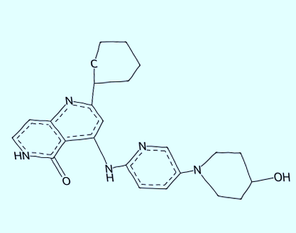 O=c1[nH]ccc2nc(C3CCCCC3)cc(Nc3ccc(N4CCC(O)CC4)cn3)c12